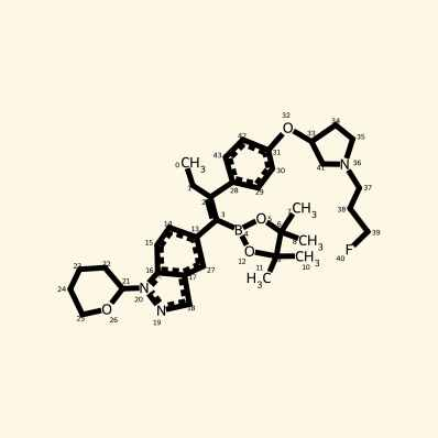 CC/C(=C(/B1OC(C)(C)C(C)(C)O1)c1ccc2c(cnn2C2CCCCO2)c1)c1ccc(OC2CCN(CCCF)C2)cc1